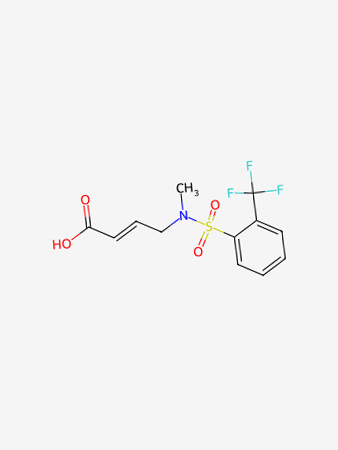 CN(CC=CC(=O)O)S(=O)(=O)c1ccccc1C(F)(F)F